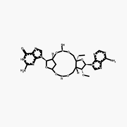 CC[C@@]12COP(S)O[C@H]3CC(OPOC[C@H]1[C@@H](OC)[C@H](n1cnc4c(N)ncnc41)O2)O[C@H]3n1cnc2c(=O)[nH]c(N)nc21